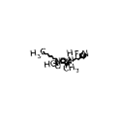 CCCCCCCN(C(=O)O)c1ccc2c(c1)c(C)cn2NCCCc1ccncc1F